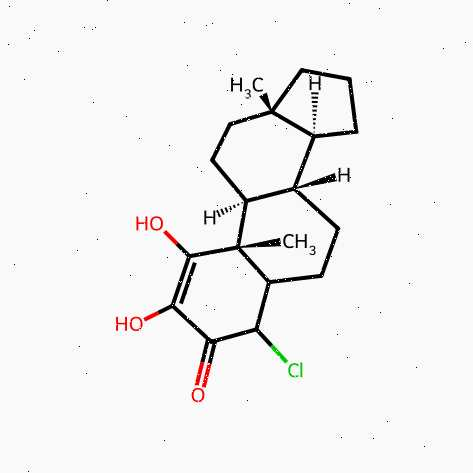 C[C@@]12CCC[C@H]1[C@@H]1CCC3C(Cl)C(=O)C(O)=C(O)[C@]3(C)[C@H]1CC2